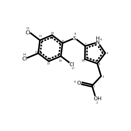 O=C(O)Cc1c[nH]c(Sc2cc(Cl)c(Cl)cc2Cl)c1